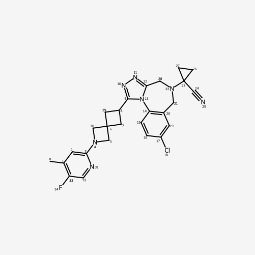 Cc1cc(N2CC3(CC(c4nnc5n4-c4ccc(Cl)cc4CN(C4(C#N)CC4)C5)C3)C2)ncc1F